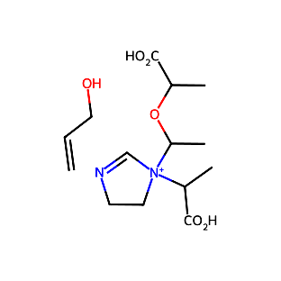 C=CCO.CC(OC(C)[N+]1(C(C)C(=O)O)C=NCC1)C(=O)O